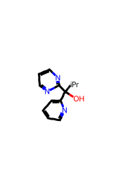 CC(C)C(O)(c1ccccn1)c1ncccn1